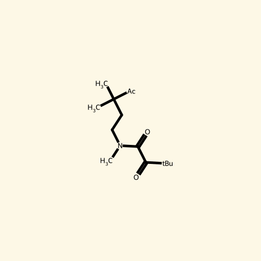 CC(=O)C(C)(C)CCN(C)C(=O)C(=O)C(C)(C)C